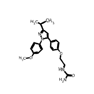 COc1ccc(-n2nc(C(C)C)cc2-c2ccc(OCCNC(N)=O)cc2)cc1